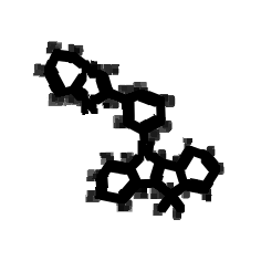 CC1(C)c2ccccc2-c2c1c1ccccc1n2-c1cccc(-c2cn3ccccc3n2)c1